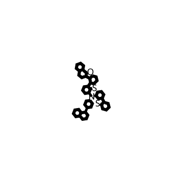 c1ccc2c(-c3ccc(N(c4cccc5c4sc4ccccc45)c4cccc5c4sc4ccc6oc7c8ccccc8ccc7c6c45)cc3)cccc2c1